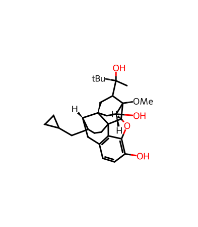 COC12C(C(C)(O)C(C)(C)C)C[C@]3(C[C@H]1O)[C@H]1Cc4ccc(O)c5c4C3(CCC1CC1CC1)[C@H]2O5